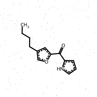 CCCCc1coc(C(=O)c2ccc[nH]2)c1